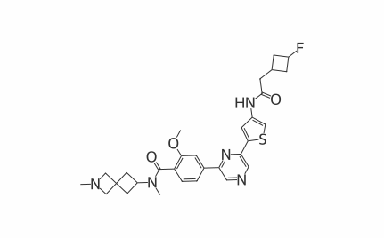 COc1cc(-c2cncc(-c3cc(NC(=O)CC4CC(F)C4)cs3)n2)ccc1C(=O)N(C)C1CC2(C1)CN(C)C2